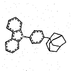 c1ccc2c(c1)c1ccccc1n2-c1ccc(C23CC4CC(CC(C4)C2)C3)cc1